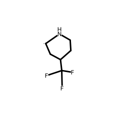 FC(F)(F)C1C[CH]NCC1